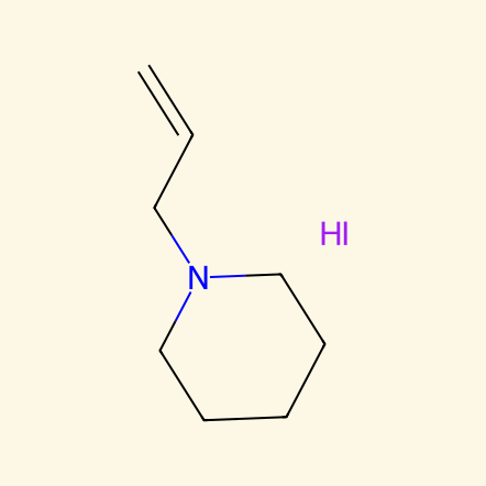 C=CCN1CCCCC1.I